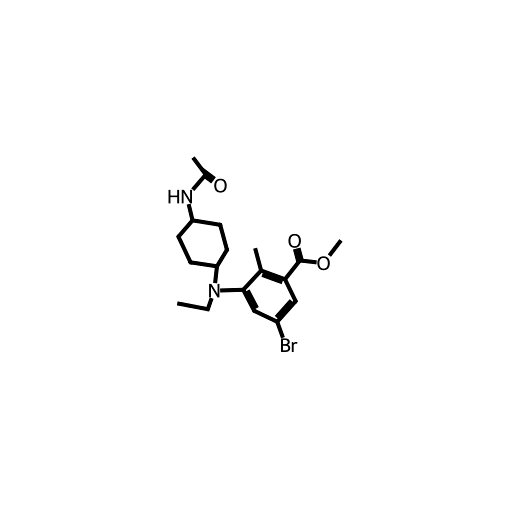 CCN(c1cc(Br)cc(C(=O)OC)c1C)C1CCC(NC(C)=O)CC1